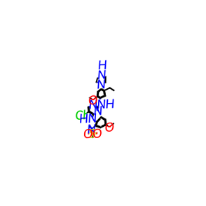 CCc1cc(Nc2ncc(Cl)c(Nc3ccc(OC)cc3N(C)S(C)(=O)=O)n2)c(OC)cc1N1CCNCC1